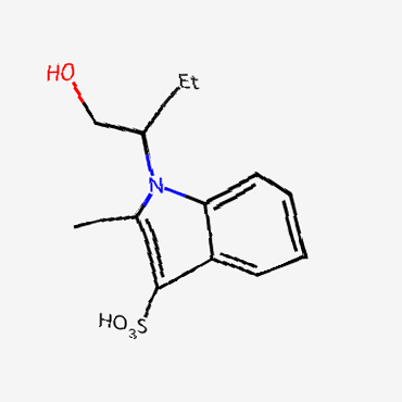 CCC(CO)n1c(C)c(S(=O)(=O)O)c2ccccc21